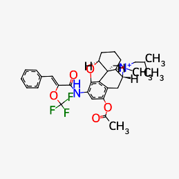 CC(=O)Oc1cc(NC(=O)C(=Cc2ccccc2)OC(F)(F)F)c2c3c1C[C@@H]1[C@@H]4CCC[C@H](O2)[C@]34CC[N+]1(C)CC(C)C